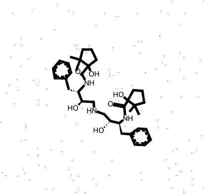 CC1(C)CCCC1(O)C(=O)N[C@@H](Cc1ccccc1)[C@H](O)CNC[C@@H](O)[C@H](Cc1ccccc1)NC(=O)C1(O)CCCC1(C)C